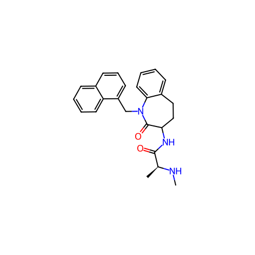 CN[C@@H](C)C(=O)NC1CCc2ccccc2N(Cc2cccc3ccccc23)C1=O